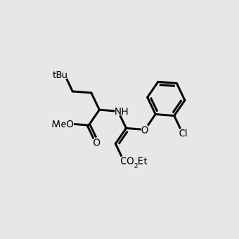 CCOC(=O)/C=C(/NC(CCC(C)(C)C)C(=O)OC)Oc1ccccc1Cl